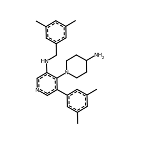 Cc1cc(C)cc(CNc2cncc(-c3cc(C)cc(C)c3)c2N2CCC(N)CC2)c1